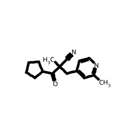 Cc1cc(CC(C)(C#N)C(=O)C2CCCC2)ccn1